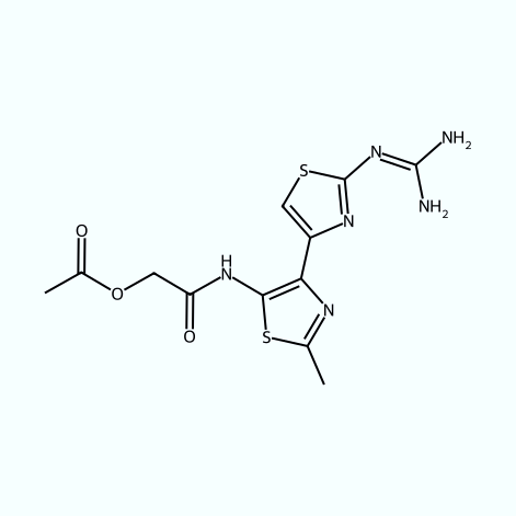 CC(=O)OCC(=O)Nc1sc(C)nc1-c1csc(N=C(N)N)n1